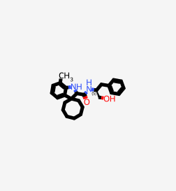 Cc1cccc2c1NC(C(=O)N[C@H](CO)Cc1ccccc1)C21CCCCCCC1